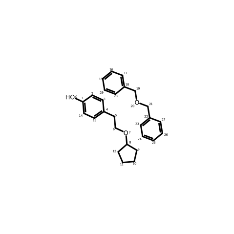 Oc1ccc(CCOC2CCCC2)cc1.c1ccc(COCc2ccccc2)cc1